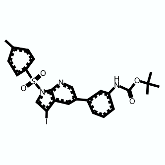 Cc1ccc(S(=O)(=O)n2cc(I)c3cc(-c4cccc(NC(=O)OC(C)(C)C)c4)cnc32)cc1